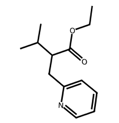 CCOC(=O)C(Cc1ccccn1)C(C)C